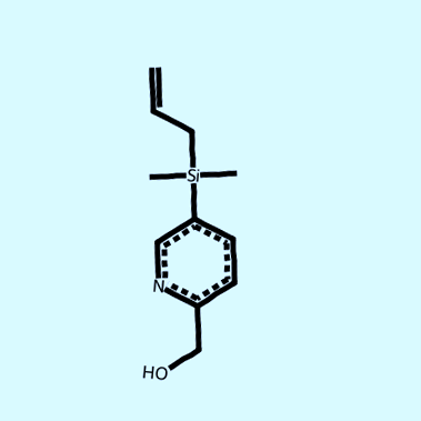 C=CC[Si](C)(C)c1ccc(CO)nc1